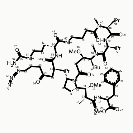 CCC(C)[C@@H]([C@@H](CC(=O)N1CCC[C@H]1[C@H](OC)[C@@H](C)C(=O)NC(Cc1ccccc1)C(=O)OC)OC)N(C)C(=O)[C@@H](NC(=O)[C@H](C(C)C)N(C)C(=O)CCCNC(=O)[C@@H](CCCNC(N)=O)NC(=O)[C@H](CC(=O)CCCN=[N+]=[N-])C(C)C)C(C)C